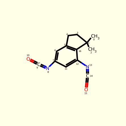 CC1(C)CCc2cc(N=C=O)cc(N=C=O)c21